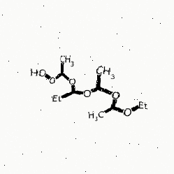 CCOC(C)OC(C)OC(CC)OC(C)OO